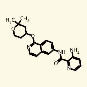 CC1(C)CC(Oc2nccc3cc(NC(=O)c4ncccc4N)ccc23)CCO1